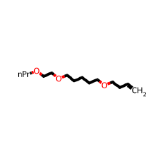 C=CCCOCCCCCOCCOCCC